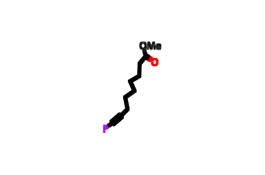 COC(=O)CCCCCCC#CI